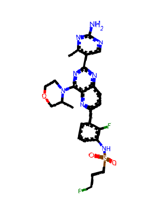 Cc1nc(N)ncc1-c1nc(N2CCOCC2C)c2nc(-c3cccc(NS(=O)(=O)CCCF)c3F)ccc2n1